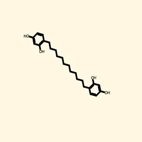 Oc1ccc(CCCCCCCCCCCCc2ccc(O)cc2O)c(O)c1